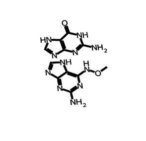 CONc1nc(N)nc2nc[nH]c12.Nc1nc2nc[nH]c2c(=O)[nH]1